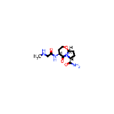 CNCC(=O)N[C@H]1CCO[C@H]2CC[C@H](C(N)=O)N2C1=O